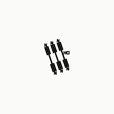 Cl.N#CC#N.N#CC#N.N#CC#N